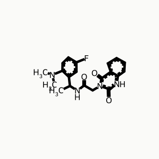 CC(NC(=O)Cn1c(=O)[nH]c2ccccc2c1=O)c1cc(F)ccc1N(C)C